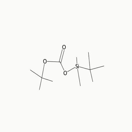 CC(C)(C)OC(=O)O[Si](C)(C)C(C)(C)C